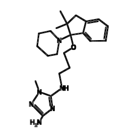 Cn1nc(N)nc1NCCCOC1(N2CCCCC2)c2ccccc2CC1(C)C